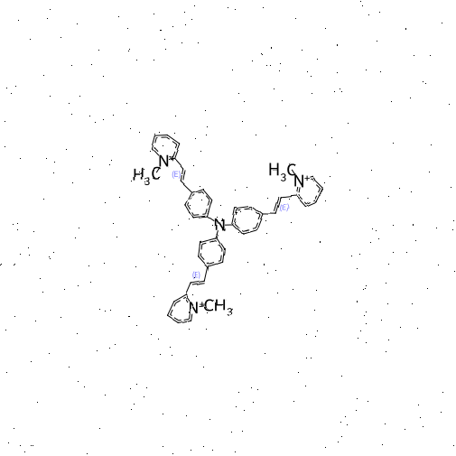 C[n+]1ccccc1/C=C/c1ccc(N(c2ccc(/C=C/c3cccc[n+]3C)cc2)c2ccc(/C=C/c3cccc[n+]3C)cc2)cc1